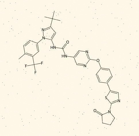 Cc1ccc(-n2nc(C(C)(C)C)cc2NC(=O)Nc2cnc(Oc3ccc(-c4cnc(N5CCCC5=O)s4)cc3)nc2)cc1C(F)(F)F